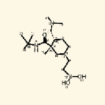 CN(C)C[C@@H]1CC[C@@H](CCB(O)O)C[C@]1(C)C(=O)NC(C)(C)C